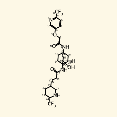 O=C(COc1ccc(C(F)(F)F)nc1)NC12CCC(NC(=O)COC3CCC(C(F)(F)F)NC3)(CC1)[C@@H](O)C2